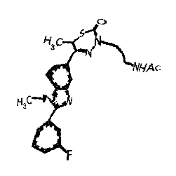 CC(=O)NCCN1N=C(c2ccc3c(c2)nc(-c2cccc(F)c2)n3C)C(C)SC1=O